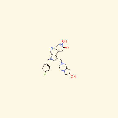 O=C1C=c2c(ncc3c2=C(CN2CCN4C[C@H](O)CC4C2)CN3Cc2ccc(F)cc2)CN1O